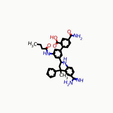 CCCC(=O)Nc1cc(-c2ccc(C(N)=O)cc2C(=O)O)cc(C2CC(C)(c3ccccc3)c3cc(C(=N)N)ccc3N2)c1